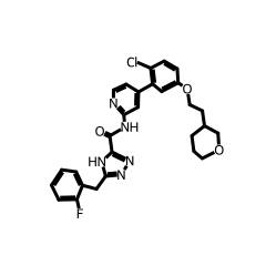 O=C(Nc1cc(-c2cc(OCCC3CCCOC3)ccc2Cl)ccn1)c1nnc(Cc2ccccc2F)[nH]1